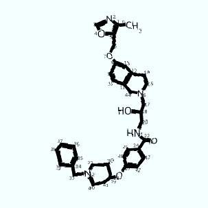 Cc1ncoc1COc1ccc2c(c1)CCN(CC(O)CNC(=O)c1ccc(OC3CCN(Cc4ccccc4)CC3)cc1)C2